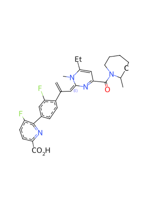 C=C(/C=C1/N=C(C(=O)N2CCCCCC2C)C=C(CC)N1C)c1ccc(-c2nc(C(=O)O)ccc2F)cc1F